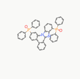 O=P(c1ccccc1)(c1ccccc1)c1ccc2c3ccccc3c3nc4c(P(=O)(c5ccccc5)c5ccccc5)cccc4n3c2c1